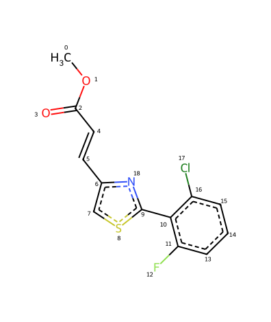 COC(=O)C=Cc1csc(-c2c(F)cccc2Cl)n1